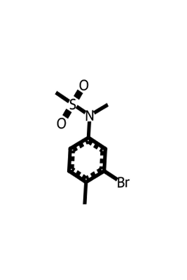 Cc1ccc(N(C)S(C)(=O)=O)cc1Br